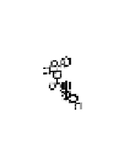 O=C(NCc1nc2cc(Cl)ccc2[nH]1)c1ccc(C(=O)N2CC=CCC2)c(Cl)c1